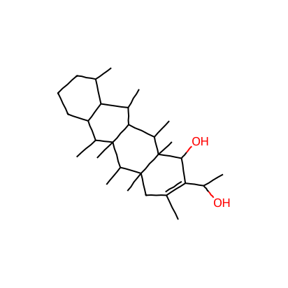 CC1=C(C(C)O)C(O)C2(C)C(C)C3C(C)C4C(C)CCCC4C(C)C3(C)C(C)C2(C)C1